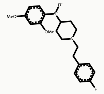 COc1ccc([S+]([O-])C2CCN(CCc3ccc(F)cc3)CC2)c(OC)c1